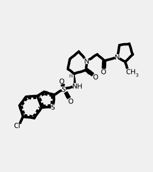 CC1CCCN1C(=O)CN1CCC[C@H](NS(=O)(=O)c2cc3ccc(Cl)cc3s2)C1=O